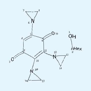 CCCCCCO.O=C1C=C(N2CC2)C(=O)C(N2CC2)=C1N1CC1